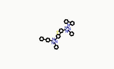 c1ccc(-c2ccc(-c3nc(-c4ccccc4)nc(-c4ccc5c(c4)sc4ccc(-c6nc(-c7ccccc7)nc(-n7c8ccccc8c8ccccc87)n6)cc45)n3)cc2)cc1